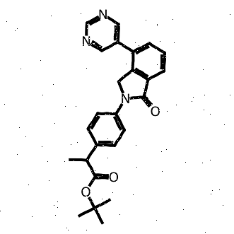 CC(C(=O)OC(C)(C)C)c1ccc(N2Cc3c(cccc3-c3cncnc3)C2=O)cc1